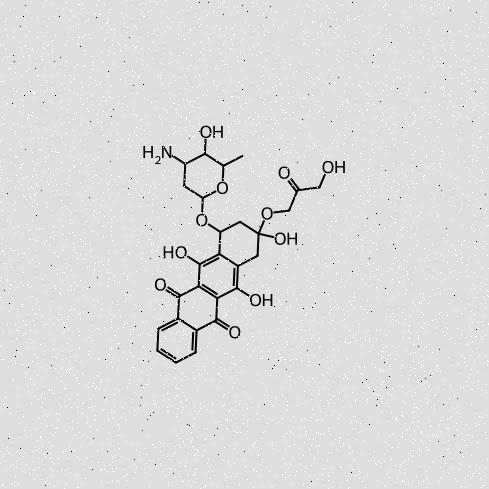 CC1OC(OC2CC(O)(OCC(=O)CO)Cc3c(O)c4c(c(O)c32)C(=O)c2ccccc2C4=O)CC(N)C1O